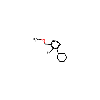 CCc1c(CO[SiH3])cccc1C1CCCCC1